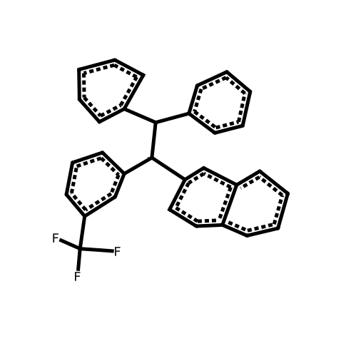 FC(F)(F)c1cccc([C](c2ccc3ccccc3c2)C(c2ccccc2)c2ccccc2)c1